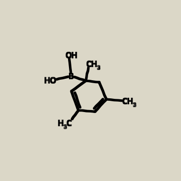 CC1=CC(C)(B(O)O)CC(C)=C1